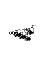 CC(C)OC1CCCCCCC(O)(C(=O)[O-])C1(OC(C)C)OC(C)C.CC(C)OC1CCCCCCC(O)(C(=O)[O-])C1(OC(C)C)OC(C)C.CC(C)OC1CCCCCCC(O)(C(=O)[O-])C1(OC(C)C)OC(C)C.CC(C)OC1CCCCCCC(O)(C(=O)[O-])C1(OC(C)C)OC(C)C.[Ti+4]